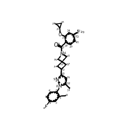 Cc1cc(F)ccc1-n1nc(C2CC3(C2)CN(C(=O)c2ccc(F)cc2OC2CC2)C3)cc1C